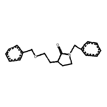 O=C1C(CCOCc2ccccc2)CCN1Cc1ccccc1